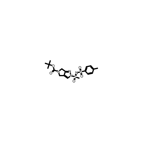 Cc1ccc(S(=O)(=O)N=S(C)(=O)n2cc3c(n2)CN(C(=O)OC(C)(C)C)C3)cc1